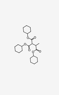 CC(C(=O)OC1CCCCC1)C(C(=O)OC1CCCCC1)C(=O)OC1CCCCC1